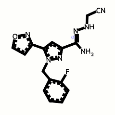 N#CCN/N=C(\N)c1cc(-c2ccon2)n(Cc2ccccc2F)n1